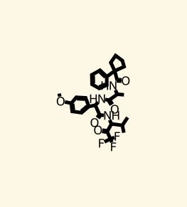 COc1ccc(C(NC(=O)C(C)NC(=O)C2(c3ccccc3)CCCC2)C(=O)NC(C(=O)C(F)(F)F)C(C)C)cc1